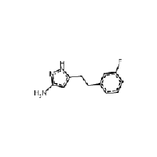 Nc1cc(CCc2cccc(F)c2)[nH]n1